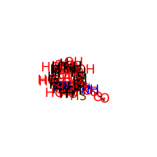 CN[C@H](CSCC1O[C@H]2O[C@@H]3C(CO)OC(O[C@@H]4C(CO)OC(O[C@@H]5C(CO)O[C@H](O[C@@H]6C(CSC[C@@H](CC(=O)CCOCCOCCC(C)=O)C(=O)NCCS)O[C@H](O[C@@H]7C(CO)O[C@@H](O[C@@H]8C(CO)O[C@@H](O[C@H]1[C@H](O)C2O)C(O)[C@H]8O)C(O)[C@H]7O)C(O)[C@H]6O)C(O)[C@H]5O)[C@@H](O)[C@H]4O)[C@@H](O)[C@H]3O)C(=O)NCCS